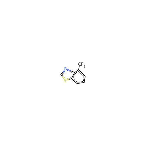 FC(F)(F)c1cccc2scnc12